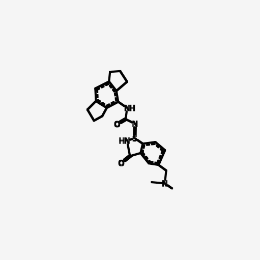 CN(C)Cc1ccc2c(c1)C(=O)N/S2=N\C(=O)Nc1c2c(cc3c1CCC3)CCC2